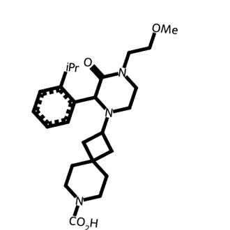 COCCN1CCN(C2CC3(CCN(C(=O)O)CC3)C2)C(c2ccccc2C(C)C)C1=O